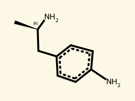 C[C@@H](N)Cc1ccc(N)cc1